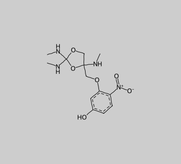 CNC1(COc2cc(O)ccc2[N+](=O)[O-])COC(NC)(NC)O1